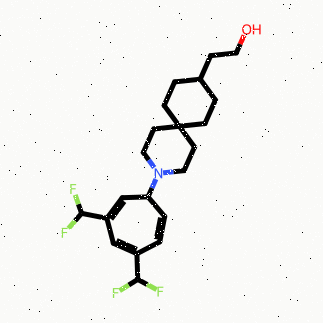 OCCC1CCC2(CC1)CCN(C1C=CC(C(F)F)=CC(C(F)F)=C1)CC2